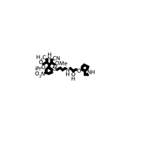 COC(=O)C1=C(C#N)NC(C)=C(C(=O)OC(C)C)C1c1cc([N+](=O)[O-])ccc1OCCCCNCC(O)COc1cccc2[nH]ccc12